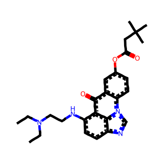 CCN(CC)CCNc1ccc2ncn3c4ccc(OC(=O)CC(C)(C)C)cc4c(=O)c1c23